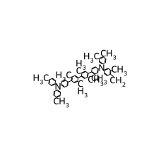 C=Cc1ccc(N(c2ccc(C)c(C)c2)c2ccc(-c3cc(C)c(-c4cc(C)c(-c5ccc(N(c6ccc(C)cc6)c6ccc(C)cc6)cc5)cc4C)cc3C)c(C)c2)cc1C